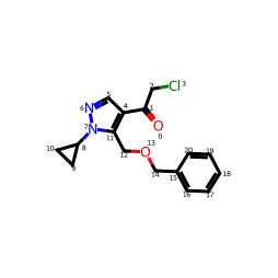 O=C(CCl)c1cnn(C2CC2)c1COCc1ccccc1